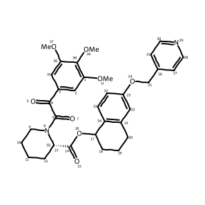 COc1cc(C(=O)C(=O)N2CCCC[C@H]2C(=O)OC2CCCc3cc(OCc4ccncc4)ccc32)cc(OC)c1OC